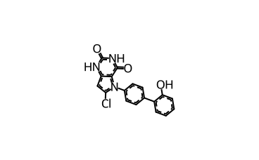 O=c1[nH]c(=O)c2c(cc(Cl)n2-c2ccc(-c3ccccc3O)cc2)[nH]1